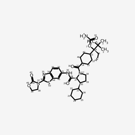 CC(C)(C)[C@@](CF)(OC(N)=O)C1CCC(C(=O)N2CC[C@@H](C3CCCCC3)[C@H]2C(=O)Nc2ccc3nc(N4CCOC4=O)sc3c2)CC1